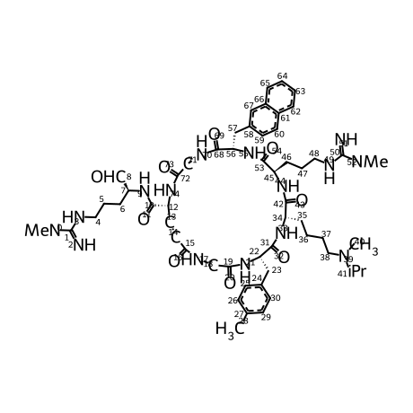 CNC(=N)NCCC[C@@H](C=O)NC(=O)[C@H]1CCC(=O)NCC(=O)N[C@@H](Cc2ccc(C)cc2)C(=O)N[C@@H](CCCCN(C)C(C)C)C(=O)N[C@H](CCCNC(=N)NC)C(=O)N[C@@H](Cc2ccc3ccccc3c2)C(=O)NCC(=O)N1